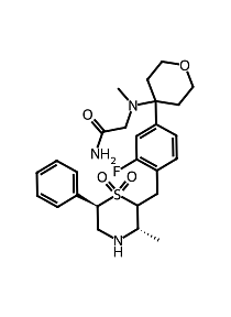 C[C@@H]1NC[C@@H](c2ccccc2)S(=O)(=O)C1Cc1ccc(C2(N(C)CC(N)=O)CCOCC2)cc1F